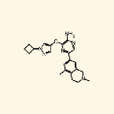 Cc1cc(-c2cnc(N)c(Oc3cnn(C4CCC4)c3)n2)cc2c1CCN(C)C2